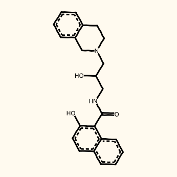 O=C(NCC(O)CN1CCc2ccccc2C1)c1c(O)ccc2ccccc12